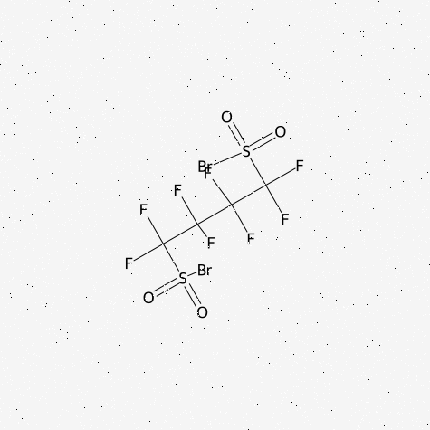 O=S(=O)(Br)C(F)(F)C(F)(F)C(F)(F)C(F)(F)S(=O)(=O)Br